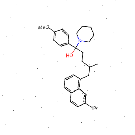 COc1ccc(C(O)(CCC(C)Cc2cccc3ccc(C(C)C)cc23)N2CCCCC2)cc1